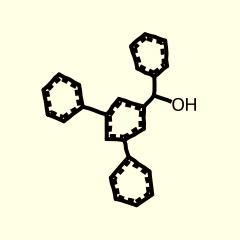 OC(c1ccccc1)c1cc(-c2ccccc2)cc(-c2ccccc2)c1